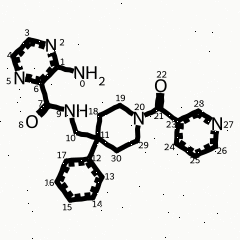 Nc1nccnc1C(=O)NCC1(c2ccccc2)CCN(C(=O)c2cccnc2)CC1